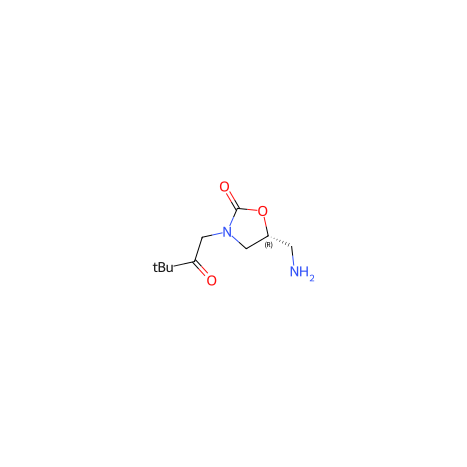 CC(C)(C)C(=O)CN1C[C@@H](CN)OC1=O